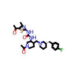 CC(=O)c1sc(NC(=O)NC2CN(C(C)=O)CCC2CN2CCC[C@@H](Cc3ccc(F)cc3)C2)nc1C